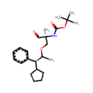 CC(OC[C@@](C)(C=O)NC(=O)OC(C)(C)C)[C@H](c1ccccc1)C1CCCC1